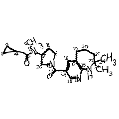 CN(C(=O)C1CC1)[C@H]1CCN(C(=O)c2cnc3c(c2)CCCC(C)(C)N3)C1